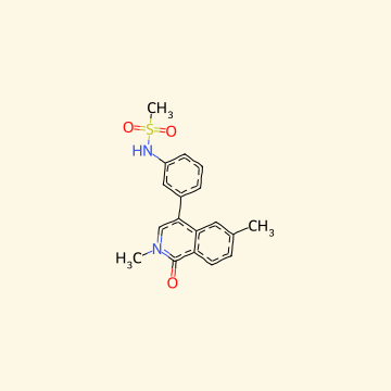 Cc1ccc2c(=O)n(C)cc(-c3cccc(NS(C)(=O)=O)c3)c2c1